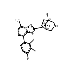 Fc1ccc(-c2ccc(C(F)(F)F)n3nc(N4[C@H]5[C@H]6CC[C@]54CNC6)nc23)c(F)c1F